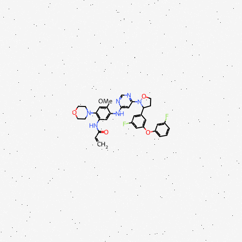 C=CC(=O)Nc1cc(Nc2cc(N3OCCC3c3cc(F)cc(Oc4cccc(F)c4)c3)ncn2)c(OC)cc1N1CCOCC1